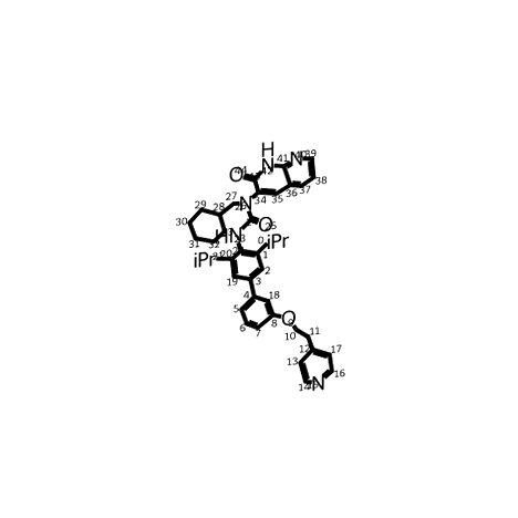 CC(C)c1cc(-c2cccc(OCCc3ccncc3)c2)cc(C(C)C)c1NC(=O)N(CC1CCCCC1)c1cc2cccnc2[nH]c1=O